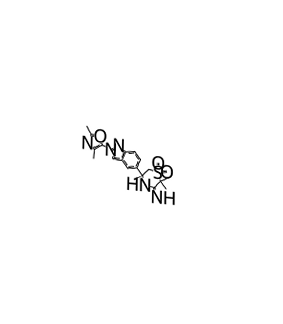 Cc1nc(C)c(-n2cc3cc([C@]4(C)CS(=O)(=O)C(C)(C)C(=N)N4)ccc3n2)o1